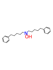 ON(CCCCCc1ccccc1)CCCCCc1ccccc1